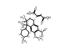 COc1cc2c(cc1[N+](=O)[O-])CCC(C)(C)C2(O)C1CCN(C)CC1.O=C(O)C=CC(=O)O